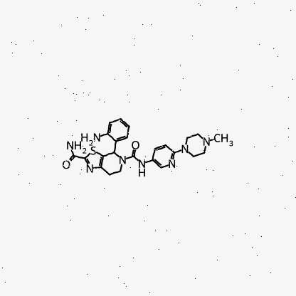 CN1CCN(c2ccc(NC(=O)N3CCc4nc(C(N)=O)sc4C3c3ccccc3N)cn2)CC1